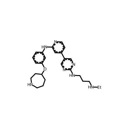 CCNCCCNc1ncc(-c2ccnc(Nc3cccc(OC4CCCNCC4)c3)c2)cn1